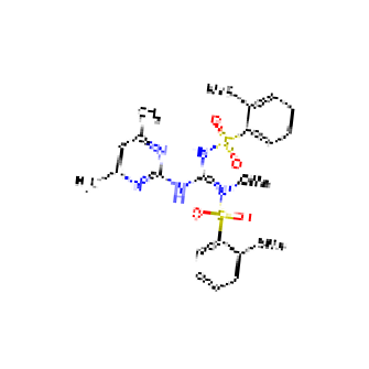 CO[N+](=C(Nc1nc(C)cc(C)n1)NS(=O)(=O)c1ccccc1SC)S(=O)(=O)c1ccccc1SC